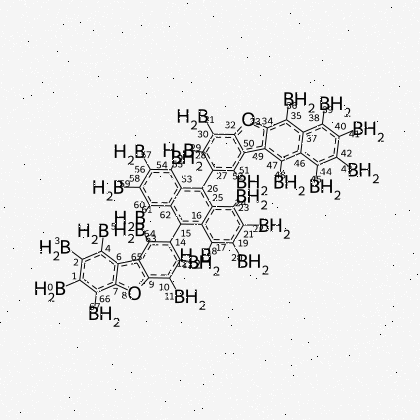 Bc1c(B)c(B)c2c(oc3c(B)c(B)c(-c4c5c(B)c(B)c(B)c(B)c5c(-c5c(B)c(B)c6oc7c(B)c8c(B)c(B)c(B)c(B)c8c(B)c7c6c5B)c5c(B)c(B)c(B)c(B)c45)c(B)c32)c1B